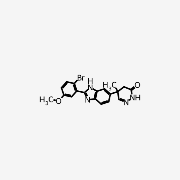 COc1ccc(Br)c(-c2nc3ccc(C4(C)C=NNC(=O)C4)cc3[nH]2)c1